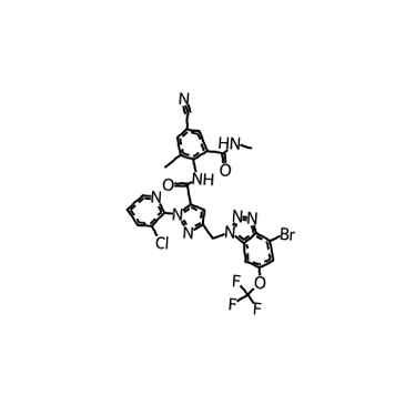 CNC(=O)c1cc(C#N)cc(C)c1NC(=O)c1cc(Cn2nnc3c(Br)cc(OC(F)(F)F)cc32)nn1-c1ncccc1Cl